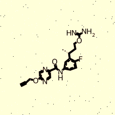 C#CCOc1cnc(C(=O)Nc2ccc(F)c([C@H](C)CCOC(=N)N)c2)cn1